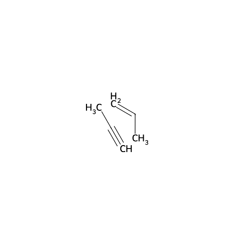 C#CC.C=CC